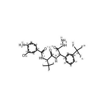 CC(C)(C)C(NC(=O)c1ccc(N)c(Cl)c1)C(=O)NC(C(=O)NN)c1cccc(C(F)(F)F)c1